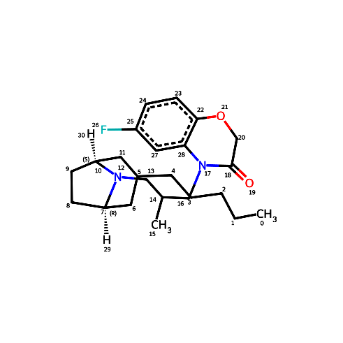 CCCCCC1C[C@H]2CC[C@@H](C1)N2CC(C)CN1C(=O)COc2ccc(F)cc21